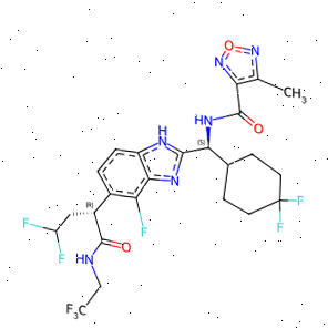 Cc1nonc1C(=O)N[C@H](c1nc2c(F)c([C@@H](CC(F)F)C(=O)NCC(F)(F)F)ccc2[nH]1)C1CCC(F)(F)CC1